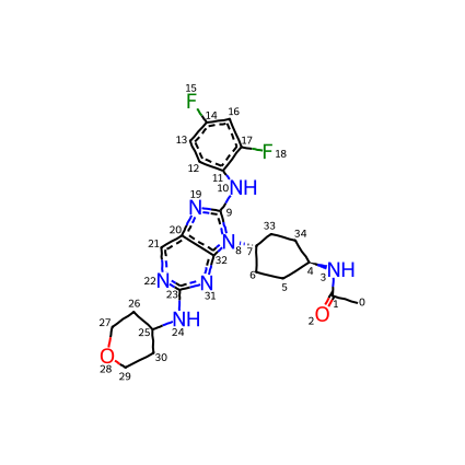 CC(=O)N[C@H]1CC[C@H](n2c(Nc3ccc(F)cc3F)nc3cnc(NC4CCOCC4)nc32)CC1